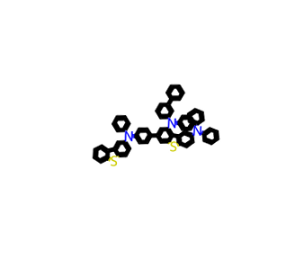 c1ccc(-c2cccc(N(c3ccccc3)c3cc(-c4ccc(N(c5ccccc5)c5ccc6sc7ccccc7c6c5)cc4)cc4sc5ccc(N(c6ccccc6)c6ccccc6)cc5c34)c2)cc1